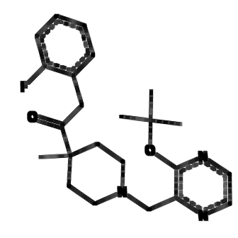 CC(C)(C)Oc1nccnc1CN1CCC(C)(C(=O)Cc2ccccc2F)CC1